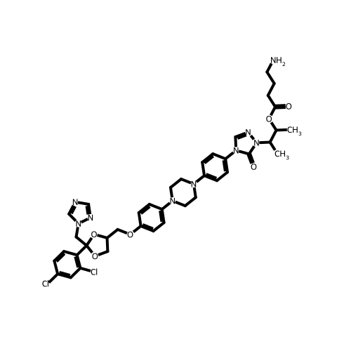 CC(OC(=O)CCCN)C(C)n1ncn(-c2ccc(N3CCN(c4ccc(OCC5COC(Cn6cncn6)(c6ccc(Cl)cc6Cl)O5)cc4)CC3)cc2)c1=O